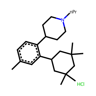 CCCN1CCC(c2ccc(C)cc2C2CC(C)(C)CC(C)(C)C2)CC1.Cl